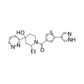 CCC1CC(O)(c2cccnn2)CCN1C(=O)c1csc(-c2cn[nH]c2)c1